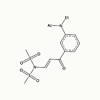 CCN(C(C)=O)c1cccc(C(=O)C=CN(S(C)(=O)=O)S(C)(=O)=O)c1